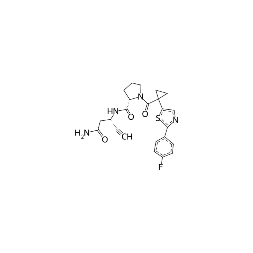 C#C[C@H](CC(N)=O)NC(=O)[C@@H]1CCCN1C(=O)C1(c2cnc(-c3ccc(F)cc3)s2)CC1